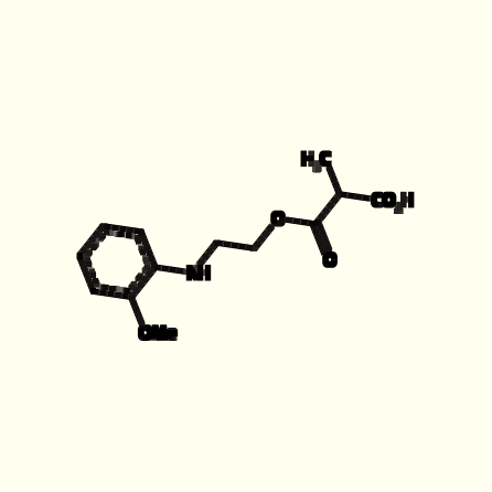 COc1ccccc1NCCOC(=O)C(C)C(=O)O